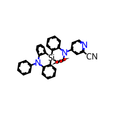 N#Cc1cc(N2c3ccccc3[Si]3(c4ccccc4N(c4ccccc4)c4ccccc43)c3ccccc32)ccn1